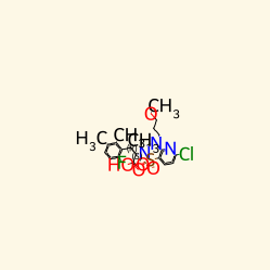 COCCCN1CN([C@H](C(=O)O)[C@H](C)c2c(F)ccc(C)c2C)S(=O)(=O)c2ccc(Cl)nc21